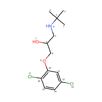 CC(C)(C)NCC(O)COc1cc(Cl)ccc1Cl